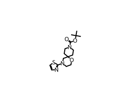 CC(C)(C)OC(=O)N1CCC2(CC1)CN(c1nccs1)CCO2